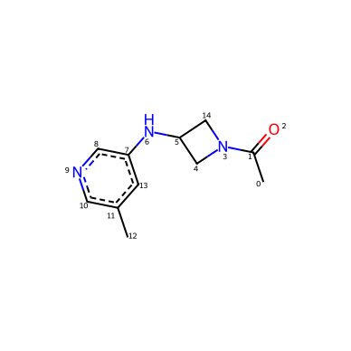 CC(=O)N1CC(Nc2cncc(C)c2)C1